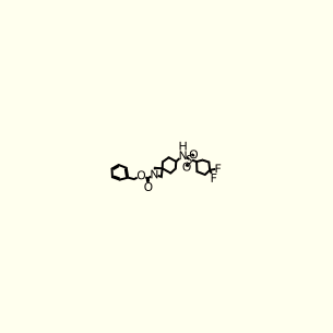 O=C(OCc1ccccc1)N1CC2(CCC(NS(=O)(=O)C3CCC(F)(F)CC3)CC2)C1